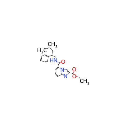 CCOC(=O)c1cn2c(C(=O)NCC(CC(C)C)c3ccccc3)cccc2n1